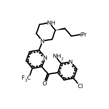 CC(C)CC[C@H]1CN(c2ccc(C(F)(F)F)c(C(=O)c3cc(Cl)cnc3N)n2)CCN1